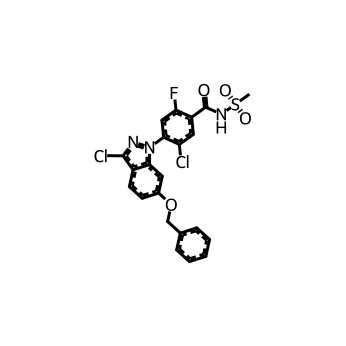 CS(=O)(=O)NC(=O)c1cc(Cl)c(-n2nc(Cl)c3ccc(OCc4ccccc4)cc32)cc1F